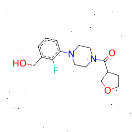 O=C(C1CCOC1)N1CCN(c2cccc(CO)c2F)CC1